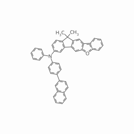 CC1(C)c2ccc(N(c3ccccc3)c3ccc(-c4ccc5ccccc5c4)cc3)cc2-c2cc3oc4ccccc4c3cc21